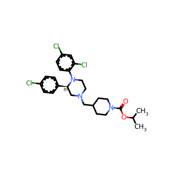 CC(C)OC(=O)N1CCC(CN2CCN(c3ccc(Cl)cc3Cl)[C@H](c3ccc(Cl)cc3)C2)CC1